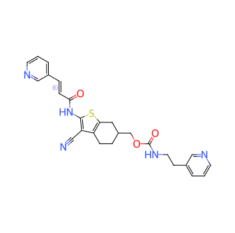 N#Cc1c(NC(=O)/C=C/c2cccnc2)sc2c1CCC(COC(=O)NCCc1cccnc1)C2